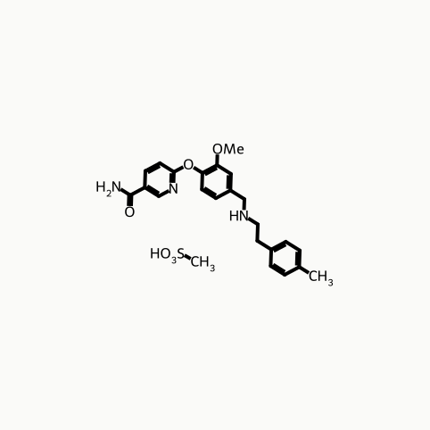 COc1cc(CNCCc2ccc(C)cc2)ccc1Oc1ccc(C(N)=O)cn1.CS(=O)(=O)O